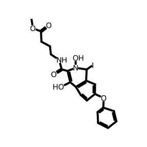 COC(=O)CCCNC(=O)C1=C(O)c2ccc(Oc3ccccc3)cc2C(I)N1O